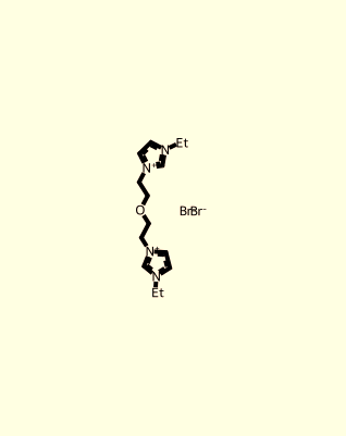 CCn1cc[n+](CCOCC[n+]2ccn(CC)c2)c1.[Br-].[Br-]